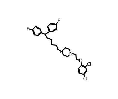 Fc1ccc(C(CCCCCN2CCN(CCOc3ccc(Cl)cc3Cl)CC2)c2ccc(F)cc2)cc1